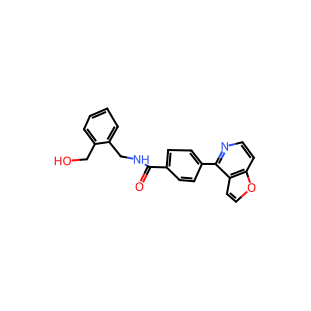 O=C(NCc1ccccc1CO)c1ccc(-c2nccc3occc23)cc1